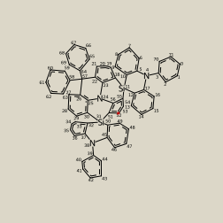 c1ccc(N2c3ccccc3[Si]3(c4ccccc42)c2cccc4c2N2c5c(cccc5[Si]5(c6ccccc6N(c6ccccc6)c6ccccc65)c5cccc3c52)C4(c2ccccc2)c2ccccc2)cc1